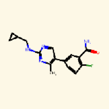 Cc1nc(NCC2CC2)ncc1-c1ccc(F)c(C(N)=O)c1